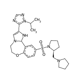 CC(C)n1ncnc1C1=CN2CCOc3ccc(S(=O)(=O)N4CCC[C@H]4CN4CCCC4)cc3C2N1